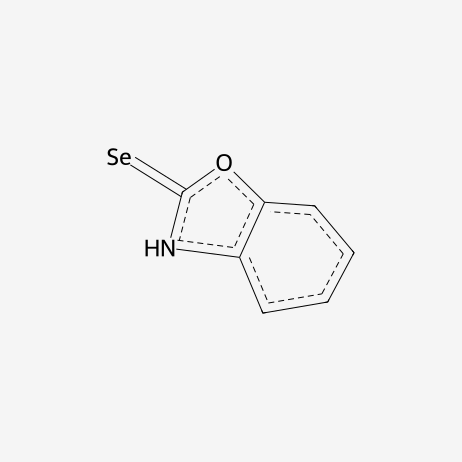 [Se]=c1[nH]c2ccccc2o1